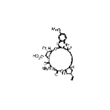 C=C[C@@H]1C[C@H]2CCCCC(F)(F)c3nc4ccc(OC)cc4nc3O[C@H]3CN(C(=O)[C@H](C(C)(C)C)NC(=O)O[C@@H]2C1)[C@H](C(=O)O)[C@@H]3CC